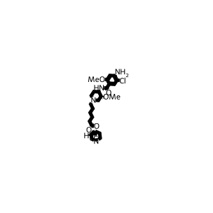 COc1cc(N)c(Cl)cc1C(=O)N[C@@H]1CCN(CCCCCC(=O)O[C@H]2CN3CCC2CC3)C[C@H]1OC